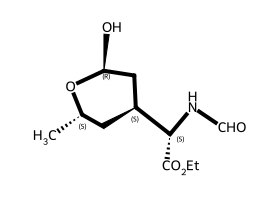 CCOC(=O)[C@@H](NC=O)[C@H]1C[C@H](C)O[C@@H](O)C1